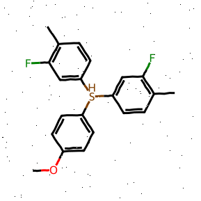 COc1ccc([SH](c2ccc(C)c(F)c2)c2ccc(C)c(F)c2)cc1